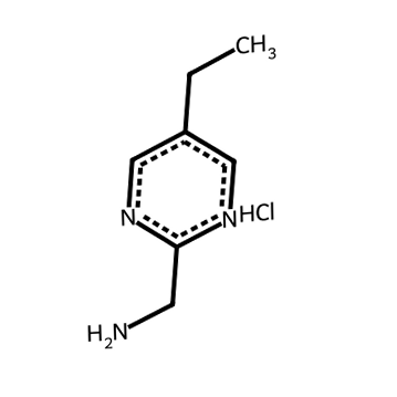 CCc1cnc(CN)nc1.Cl